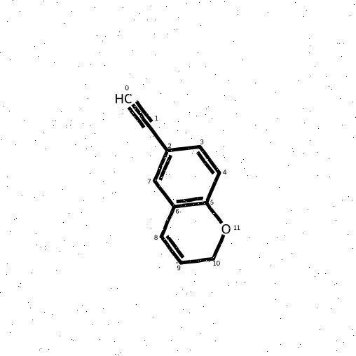 C#Cc1ccc2c(c1)C=[C]CO2